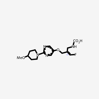 COC1CCN(c2ncc(OC/C(=C/F)CNC(=O)O)cn2)CC1